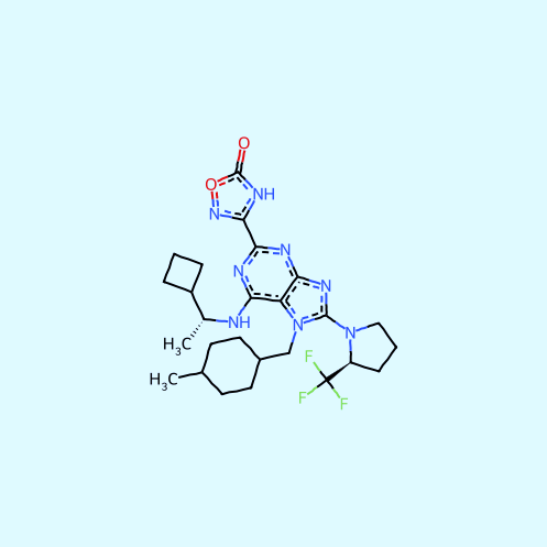 CC1CCC(Cn2c(N3CCC[C@H]3C(F)(F)F)nc3nc(-c4noc(=O)[nH]4)nc(N[C@H](C)C4CCC4)c32)CC1